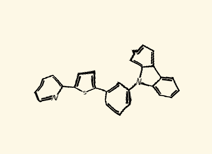 c1ccc(-c2ccc(-c3cccc(-n4c5ccccc5c5ccccc54)c3)s2)nc1